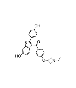 CCN1CC(Oc2ccc(C(=O)c3c(-c4ccc(O)cc4)sc4cc(O)ccc34)cc2)C1